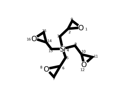 C1OC1C[Si](CC1CO1)(CC1CO1)CC1CO1